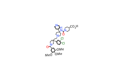 COc1cc(C(=O)N2CCC(CCN3CCC(NC(=O)N4CCC(C(=O)O)CC4)(c4ccncc4)CC3)(c3ccc(Cl)c(Cl)c3)C2)cc(OC)c1OC